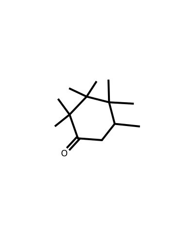 CC1CC(=O)C(C)(C)C(C)(C)C1(C)C